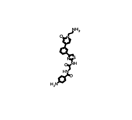 NCCn1ccc(-c2cccc(-c3csc(NC(=O)CNC(=O)c4ccc(N)cc4)n3)c2)cc1=O